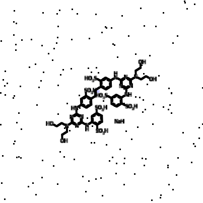 O=S(=O)(O)c1ccc(S(=O)(=O)O)c(Nc2nc(Nc3ccc(/C=C/c4ccc(Nc5nc(Nc6cc(S(=O)(=O)O)ccc6S(=O)(=O)O)nc(N(CCO)CCO)n5)cc4S(=O)(=O)O)c(S(=O)(=O)O)c3)nc(N(CCO)CCO)n2)c1.[NaH]